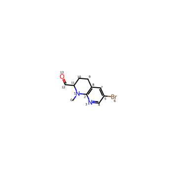 CN1c2ncc(Br)cc2CCC1C=O